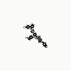 Cc1cc(S(=O)(=O)NC(=O)c2ccc(N3CCN(CC4=C(c5ccc(Cl)cc5)CC(C)(C)CC4)CC3)cc2Oc2ccc3[nH]ccc3c2)ccc1NCC1CCC2(CC1)COC2